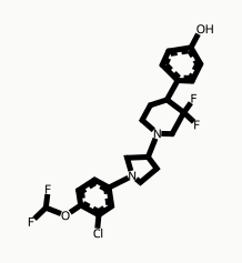 Oc1ccc(C2CCN(C3CCN(c4ccc(OC(F)F)c(Cl)c4)C3)CC2(F)F)cc1